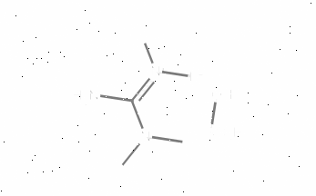 CC[N+](CC)=C(N)N(C)C.O=S(=O)(O)O